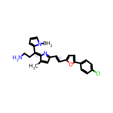 Bn1cccc1/C(CCN)=C1N=C(/C=C/c2ccc(-c3ccc(Cl)cc3)o2)C=C\1C